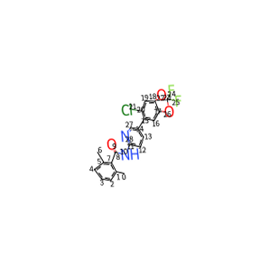 Cc1cccc(C)c1C(=O)Nc1ccc(-c2cc3c(cc2Cl)OC(F)(F)O3)cn1